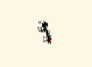 Nc1ncnc2c1ncn2C1OC(CNC(=O)COCC(=O)Nc2cccc3c2CNC3=O)C(O)C1O